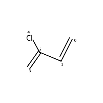 C=CC(=C)Cl